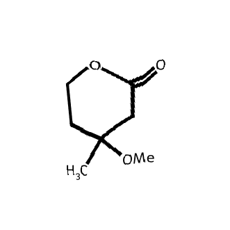 COC1(C)CCOC(=O)C1